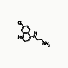 NCCNC1=CCNc2cc(Cl)ccc21